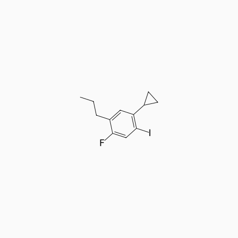 CCCc1cc(C2CC2)c(I)cc1F